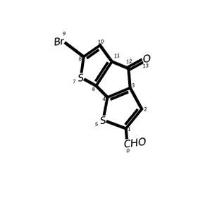 O=Cc1cc2c(s1)-c1sc(Br)cc1C2=O